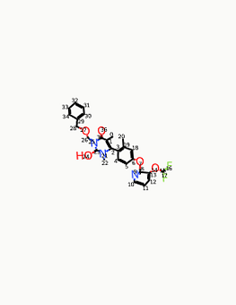 CC1=C(c2ccc(Oc3ncccc3OC(F)F)cc2C)N(C)C(O)N(COCc2ccccc2)C1=O